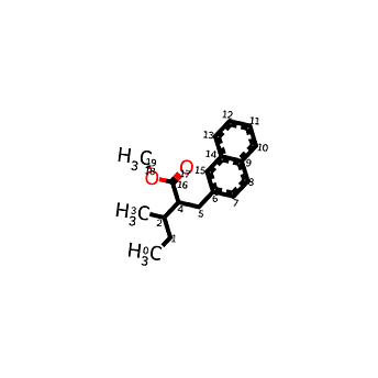 CCC(C)C(Cc1ccc2ccccc2c1)C(=O)OC